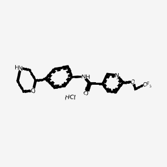 Cl.O=C(Nc1ccc(C2CNCCO2)cc1)c1ccc(OCC(F)(F)F)nc1